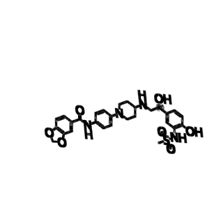 CS(=O)(=O)Nc1cc([C@@H](O)CNC2CCN(c3ccc(NC(=O)c4ccc5c(c4)OCO5)cc3)CC2)ccc1O